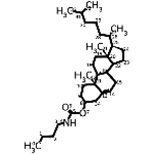 CCCCNC(=O)OC1CC[C@@]2(C)C(=CCC3C2CC[C@@]2(C)C3CC[C@@H]2[C@H](C)CCCC(C)C)C1